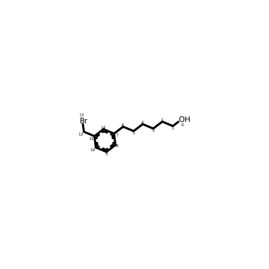 OCCCCCCc1cccc(CBr)c1